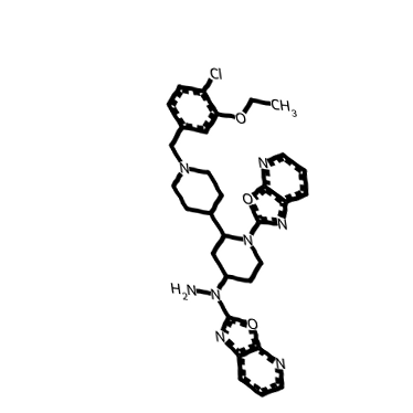 CCOc1cc(CN2CCC(C3CC(N(N)c4nc5cccnc5o4)CCN3c3nc4cccnc4o3)CC2)ccc1Cl